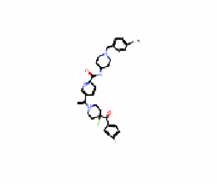 C=C(c1ccc(C(=O)NC2CCN(Cc3ccc(C#N)cc3)CC2)nc1)N1CCC(F)(C(=O)c2ccc(F)cc2)CC1